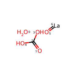 O.O=C(O)O.[O]=[La]